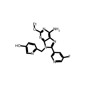 CCOc1nc(N)c2nc(-c3cncc(F)c3)n(Cc3ccc(O)cn3)c2n1